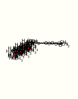 C=C(C)C(=O)OCCOCCOCCOCCOCCCCCCCCCCC[Si](C)(C)[Si](C)(C)O[Si](C)(C)O[Si](C)(C)O[Si](C)(C)O[Si](C)(C)O[Si](C)(C)O[Si](C)(C)O[Si](C)(C)O[Si](C)(C)O[Si](C)(C)O[Si](C)(C)O[Si](C)(C)O[Si](C)(C)O[Si](C)(C)O[Si](C)(C)O[Si](C)(C)O[Si](C)(C)O[Si](C)(C)O[Si](C)(C)O[Si](C)(C)O[Si](C)(C)O[Si](C)(C)O